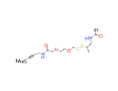 CCC(=O)NCC(C)SSCOCCOCC(=O)NCC#CSC